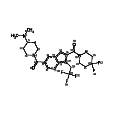 CN(C)C1CCN(C(=O)c2ccc3c(c2)cc(C(=O)N2CCC(F)(F)CC2)n3CC(F)(F)F)CC1